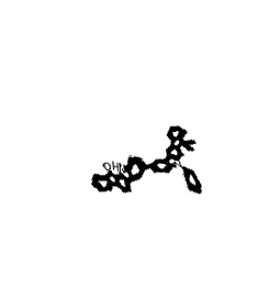 CC1(C)c2ccccc2-c2cc3c4cc(-c5ccc6[nH]c7c8c(ccc7c6c5)-c5ccccc5C8=O)ccc4n(-c4ccccc4)c3cc21